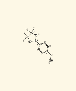 CC1(C)OB(c2ccc(CS)cc2)OC1(C)C